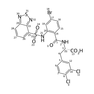 O=C(N[C@@H](Cc1ccc(Cl)c(Cl)c1)C(=O)O)c1ccc(Br)cc1NS(=O)(=O)c1cccc2nsnc12